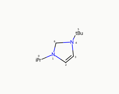 CC(C)N1C=CN(C(C)(C)C)C1